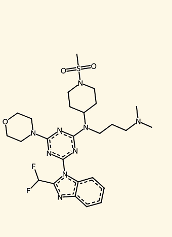 CN(C)CCCN(c1nc(N2CCOCC2)nc(-n2c(C(F)F)nc3ccccc32)n1)C1CCN(S(C)(=O)=O)CC1